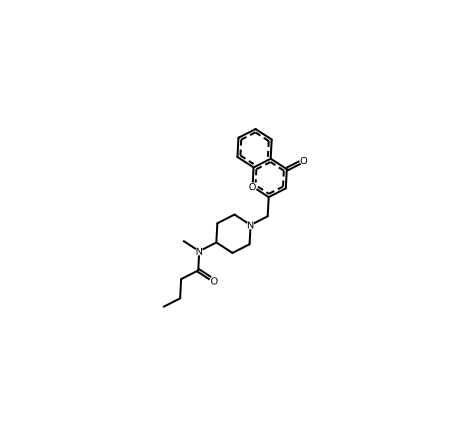 CCCC(=O)N(C)C1CCN(Cc2cc(=O)c3ccccc3o2)CC1